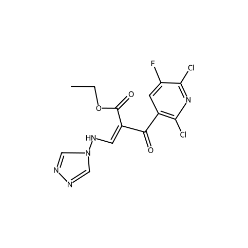 CCOC(=O)C(=CNn1cnnc1)C(=O)c1cc(F)c(Cl)nc1Cl